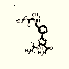 C[C@H](NCc1cccc(-c2cc(C(N)=O)c(NC(N)=O)s2)c1)C(=O)OC(C)(C)C